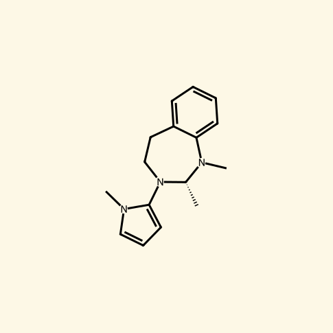 C[C@H]1N(C)c2ccccc2CCN1c1cccn1C